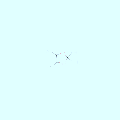 CCOC(=O)C1OC(C)(C)OC1C(C)=O